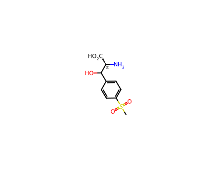 CS(=O)(=O)c1ccc(C(O)[C@H](N)C(=O)O)cc1